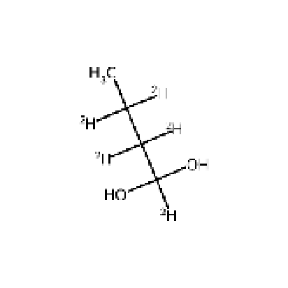 [2H]C([2H])(C)C([2H])([2H])C([2H])(O)O